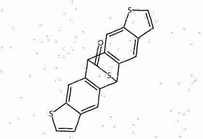 O=C1SC2c3cc4ccsc4cc3C1c1cc3sccc3cc12